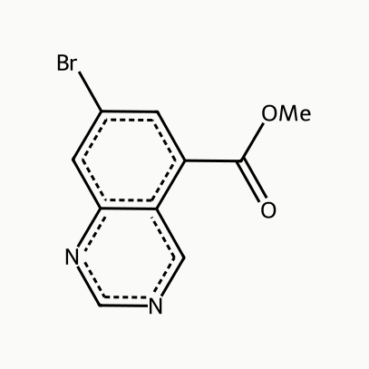 COC(=O)c1cc(Br)cc2ncncc12